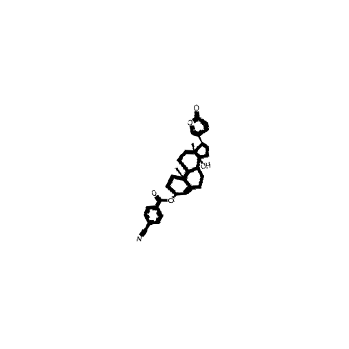 C[C@]12CC[C@H](OC(=O)c3ccc(C#N)cc3)C=C1CCC1C2CC[C@]2(C)[C@@H](c3ccc(=O)oc3)CC[C@]12O